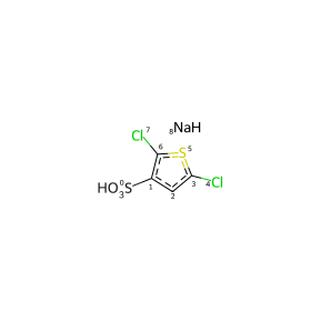 O=S(=O)(O)c1cc(Cl)sc1Cl.[NaH]